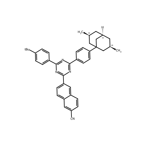 C[C@@H]1C[C@@H]2C[C@H](C)CC(c3ccc(-c4nc(-c5ccc(C(C)(C)C)cc5)nc(-c5ccc6cc(C#N)ccc6c5)n4)cc3)(C1)C2